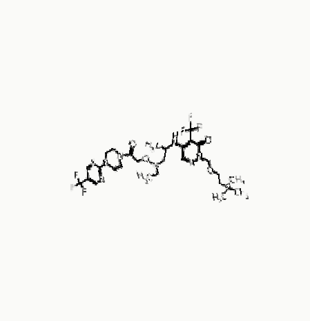 CCN(CC(C)Nc1cnn(COCC[Si](C)(C)C)c(=O)c1C(F)(F)F)OCC(=O)N1CCN(c2ncc(C(F)(F)F)cn2)CC1